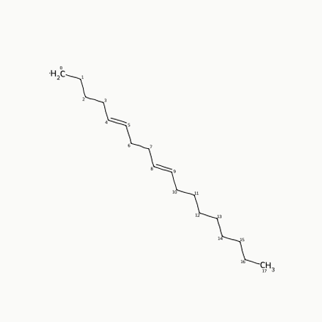 [CH2]CCCC=CCCC=CCCCCCCCC